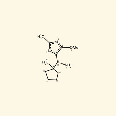 COc1sc(C)nc1[C@H](N)C1(C)CCCC1